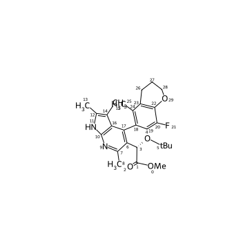 COC(=O)[C@@H](OC(C)(C)C)c1c(C)nc2[nH]c(C)c(C)c2c1-c1cc(F)c2c(c1C)CCCO2